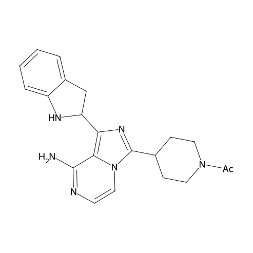 CC(=O)N1CCC(c2nc(C3Cc4ccccc4N3)c3c(N)nccn23)CC1